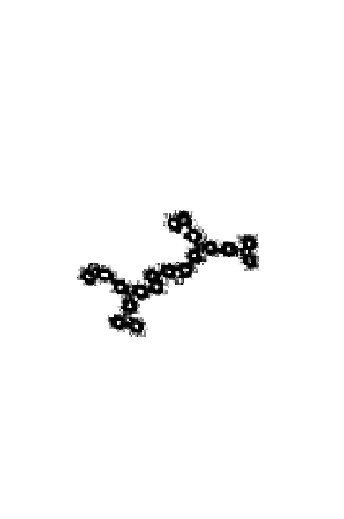 c1ccc2c(-c3ccc(N(c4ccc(-c5ccc(-n6c7ccccc7c7ccccc76)cc5)cc4)c4ccc(-c5ccc6oc7cc(-c8cccc9c(-c%10ccc(N(c%11ccc(-c%12ccc%13oc%14ccccc%14c%13c%12)cc%11)c%11ccc(-n%12c%13ccccc%13c%13ccccc%13%12)cc%11)cc%10)cccc89)ccc7c6c5)cc4)cc3)cccc2c1